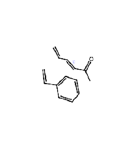 C=C/C=C/C(C)=O.C=Cc1ccccc1